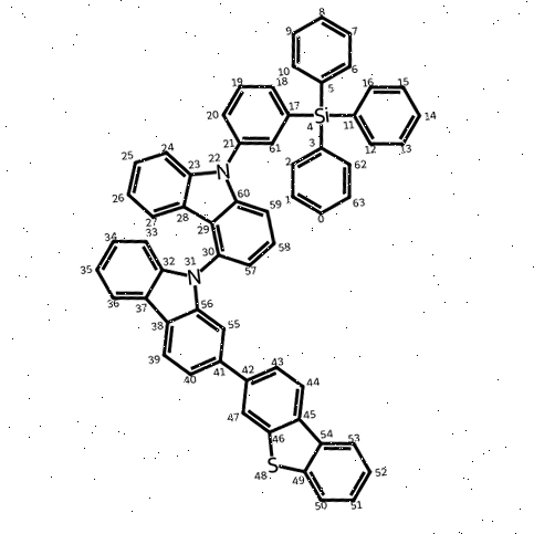 c1ccc([Si](c2ccccc2)(c2ccccc2)c2cccc(-n3c4ccccc4c4c(-n5c6ccccc6c6ccc(-c7ccc8c(c7)sc7ccccc78)cc65)cccc43)c2)cc1